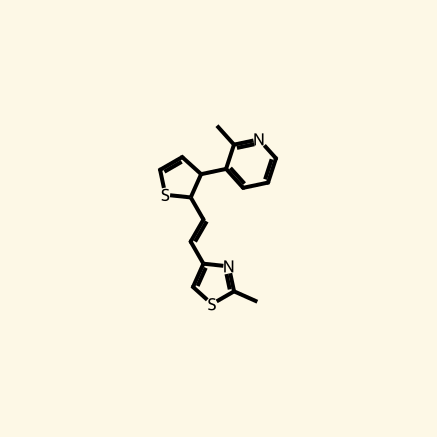 Cc1nc(C=CC2SC=CC2c2cccnc2C)cs1